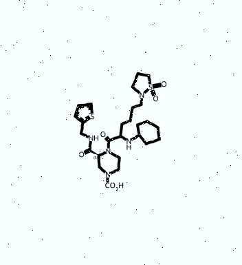 O=C(NCc1cccs1)[C@@H]1CN(C(=O)O)CCN1C(=O)C(CCCCN1CCCS1(=O)=O)NC1CCCCC1